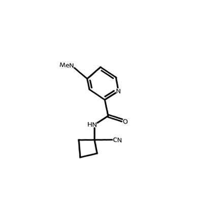 CNc1ccnc(C(=O)NC2(C#N)CCC2)c1